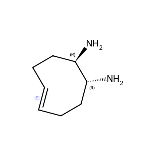 N[C@@H]1CC/C=C/CC[C@H]1N